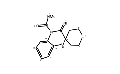 CNC(=O)N1C(=N)C2(CCOCC2)Oc2ccccc21